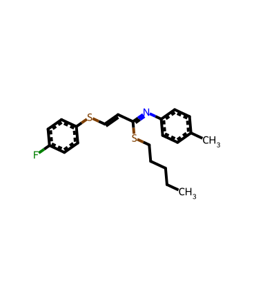 CCCCCSC(C=CSc1ccc(F)cc1)=Nc1ccc(C)cc1